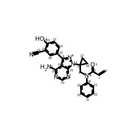 C=CC(=O)N(CC1(n2nc(-c3ccc(O)c(C#N)c3)c3c(N)ncnc32)CC1)c1ccccc1